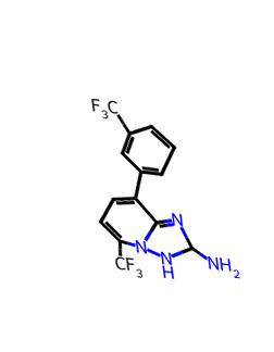 NC1N=C2C(c3cccc(C(F)(F)F)c3)=CC=C(C(F)(F)F)N2N1